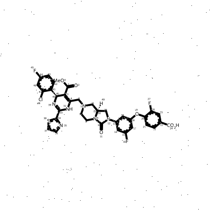 COC(=O)C1=C(CN2CCN3C(=O)N(c4cc(F)cc(Oc5ccc(C(=O)O)cc5F)c4)C[C@@H]3C2)NC(c2nccs2)=N[C@H]1c1ccc(F)cc1Cl